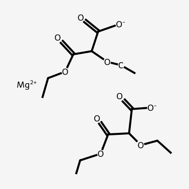 CCOC(=O)C(OCC)C(=O)[O-].CCOC(=O)C(OCC)C(=O)[O-].[Mg+2]